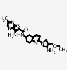 CCOCC1CN(c2ccc3c(n2)CCC(NC(=O)c2sc4nc(C)cnc4c2N)C3)CC1N